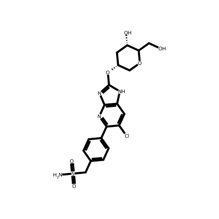 NS(=O)(=O)Cc1ccc(-c2nc3nc(O[C@H]4COC(CO)[C@@H](O)C4)[nH]c3cc2Cl)cc1